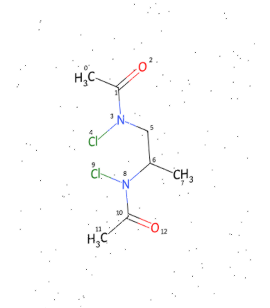 CC(=O)N(Cl)CC(C)N(Cl)C(C)=O